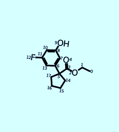 CCOC(=O)C1(c2cc(O)cc(F)c2)CCCC1